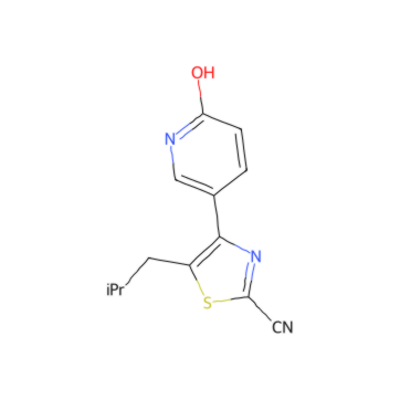 CC(C)Cc1sc(C#N)nc1-c1ccc(O)nc1